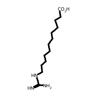 N=C(N)NCCCCCCCCCCCC(=O)O